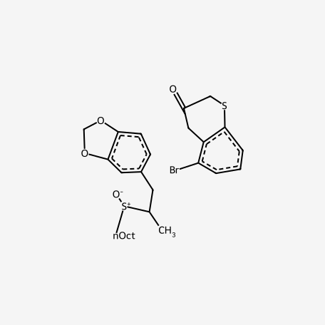 CCCCCCCC[S+]([O-])C(C)Cc1ccc2c(c1)OCO2.O=C1CSc2cccc(Br)c2C1